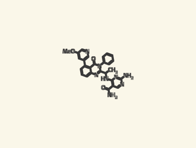 COc1cncc(-c2cccc3nc(C(C)Nc4nc(N)ncc4C(N)=O)n(-c4ccccc4)c(=O)c23)c1